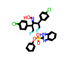 O=S(=O)(Oc1ccccc1)c1nc2ccccc2[nH]1.ON=C(C(CF)c1ccc(Cl)cc1)C(CF)c1ccc(Cl)cc1